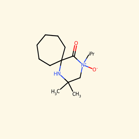 CC(C)[N+]1([O-])CC(C)(C)NC2(CCCCCC2)C1=O